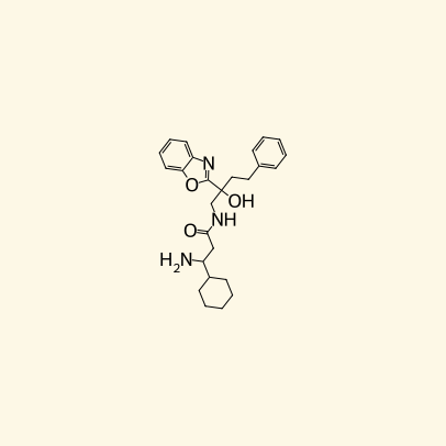 NC(CC(=O)NCC(O)(CCc1ccccc1)c1nc2ccccc2o1)C1CCCCC1